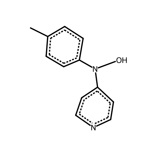 Cc1ccc(N(O)c2ccncc2)cc1